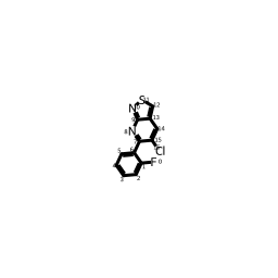 Fc1ccccc1-c1nc2nscc2cc1Cl